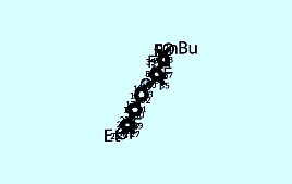 CCCCOc1ccc(-c2ccc(COC3CCC(C4CC=C(c5ccc(OCC)c(F)c5F)CC4)CC3)c(F)c2F)c(F)c1F